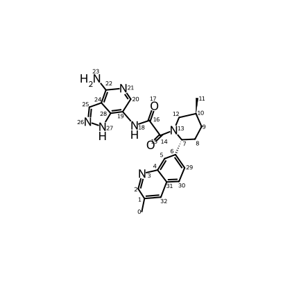 Cc1cnc2cc([C@H]3CC[C@H](C)CN3C(=O)C(=O)Nc3cnc(N)c4cn[nH]c34)ccc2c1